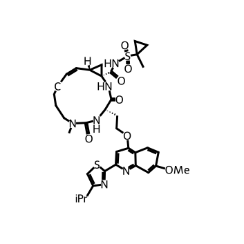 COc1ccc2c(OCC[C@@H]3NC(=O)N(C)CCCCC=C[C@@H]4C[C@@]4(C(=O)NS(=O)(=O)C4(C)CC4)NC3=O)cc(-c3nc(C(C)C)cs3)nc2c1